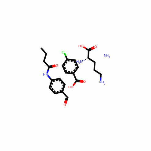 CCCC(=O)Nc1ccc(C=O)cc1.N.NCCC[C@H](N)C(=O)O.O=C(O)c1ccc(Cl)cc1